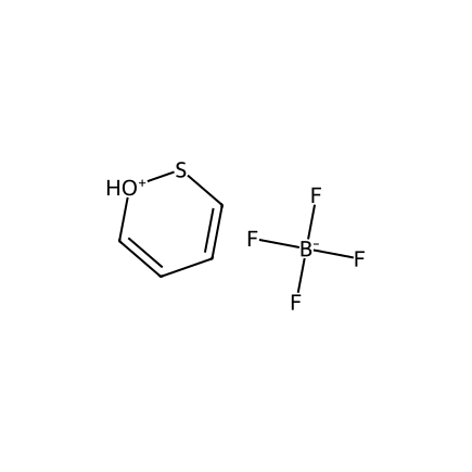 C1=C[OH+]SC=C1.F[B-](F)(F)F